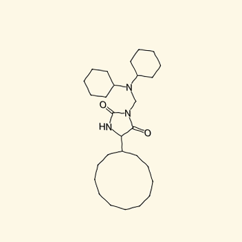 O=C1NC(C2CCCCCCCCCCC2)C(=O)N1CN(C1CCCCC1)C1CCCCC1